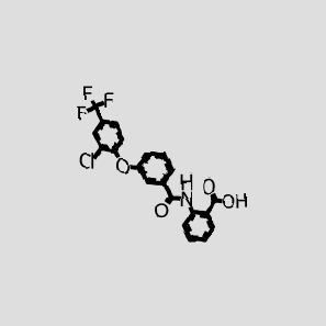 O=C(Nc1ccccc1C(=O)O)c1cccc(Oc2ccc(C(F)(F)F)cc2Cl)c1